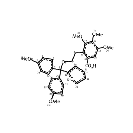 COc1ccc(C(OCCc2c(C(=O)O)cc(OC)c(OC)c2OC)(c2ccccc2)c2ccc(OC)cc2)cc1